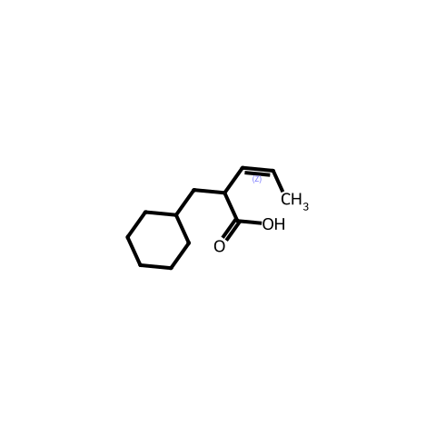 C/C=C\C(CC1CCCCC1)C(=O)O